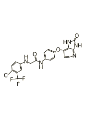 O=C(CNc1ccc(Cl)c(C(F)(F)F)c1)Nc1ccc(Oc2ccnc3[nH]c(=O)[nH]c23)cc1